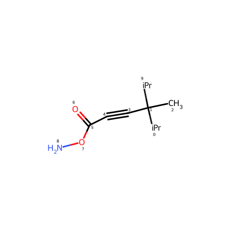 CC(C)C(C)(C#CC(=O)ON)C(C)C